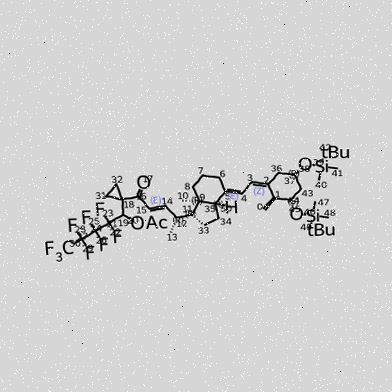 C=C1/C(=C\C=C2/CCC[C@]3(C)[C@@H]([C@H](C)/C=C/C(=O)C4(C(OC(C)=O)C(F)(F)C(F)(F)C(F)(F)C(F)(F)F)CC4)CC[C@@H]23)C[C@@H](O[Si](C)(C)C(C)(C)C)C[C@@H]1O[Si](C)(C)C(C)(C)C